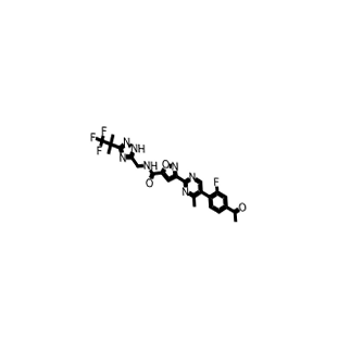 CC(=O)c1ccc(-c2cnc(-c3cc(C(=O)NCc4nc(C(C)(C)C(F)(F)F)n[nH]4)on3)nc2C)c(F)c1